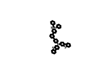 c1ccc(-c2nc3cc(-c4cccc(-c5ccc(N(c6ccc7c(c6)sc6ccccc67)c6ccc7c(c6)sc6ccccc67)cc5)c4)ccc3n2-c2ccccc2)cc1